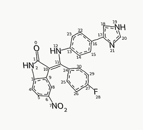 O=C1Nc2ccc([N+](=O)[O-])cc2/C1=C(/Nc1ccc(-c2c[nH]cn2)cc1)c1ccc(F)cc1